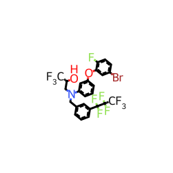 OC(CN(Cc1cccc(C(F)(F)C(F)(F)C(F)(F)F)c1)c1cccc(Oc2cc(Br)ccc2F)c1)C(F)(F)F